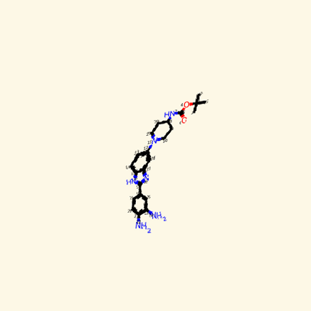 CC(C)(C)OC(=O)NC1CCN(c2ccc3[nH]c(-c4ccc(N)c(N)c4)nc3c2)CC1